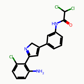 Nc1cccc(Cl)c1C1=NCC(c2cccc(NC(=O)C(Cl)Cl)c2)=C1